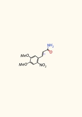 COc1cc(/C=C/C(N)=O)c([N+](=O)[O-])cc1OC